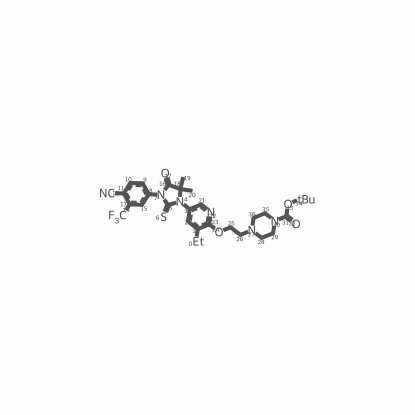 CCc1cc(N2C(=S)N(c3ccc(C#N)c(C(F)(F)F)c3)C(=O)C2(C)C)cnc1OCCN1CCN(C(=O)OC(C)(C)C)CC1